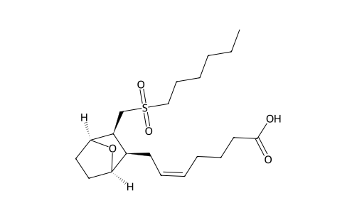 CCCCCCS(=O)(=O)C[C@H]1[C@@H](C/C=C\CCCC(=O)O)[C@H]2CC[C@@H]1O2